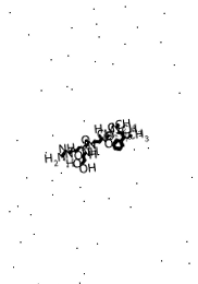 CC[C@@H](c1cccc(OC(=O)N(C)CCNC(=O)[C@H](CCCNC(=N)N)NC(=O)CC(=O)O)c1)[C@@H](C)CN(C)C